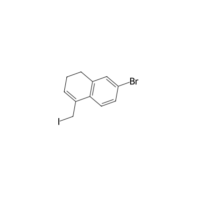 Brc1ccc2c(c1)CCC=C2CI